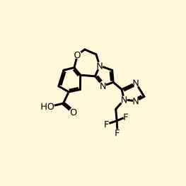 O=C(O)c1ccc2c(c1)-c1nc(-c3ncnn3CC(F)(F)F)cn1CCO2